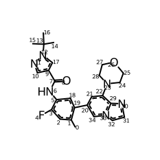 Cc1cc(F)c(NC(=O)c2cnn(C(C)(C)C)c2)cc1-c1cc(N2CCOCC2)c2nccn2c1